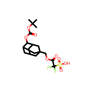 CC(C)(C)OC(=O)OC1C2CC3CC1CC(COC(=O)C(F)(F)S(=O)(=O)O)(C3)C2